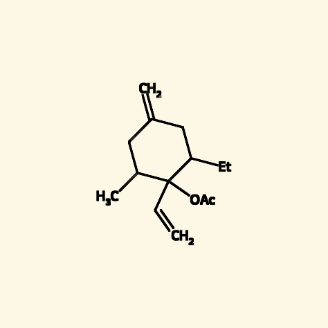 C=CC1(OC(C)=O)C(C)CC(=C)CC1CC